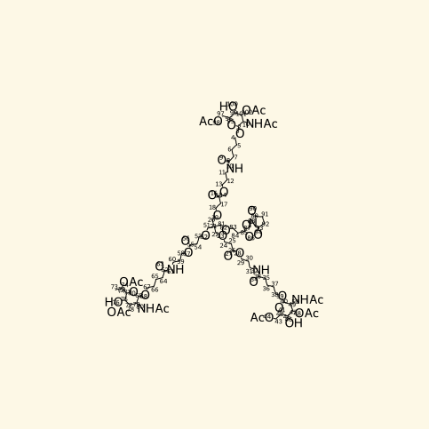 CC(=O)NC1C(OCCCCC(=O)NCCCOC(=O)CCOCC(COCCC(=O)OCCCNC(=O)CCCCOC2OC(COC(C)=O)C(O)C(OC(C)=O)C2NC(C)=O)(COCCC(=O)OCCCNC(=O)CCCCOC2OC([C@H](C)OC(C)=O)C(O)C(OC(C)=O)C2NC(C)=O)COCCC(=O)ON2C(=O)CCC2=O)OC(COC(C)=O)C(O)C1OC(C)=O